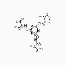 CN1CCC/C1=N/Oc1nc(O/N=C2\CCCN2C)nc(O/N=C2\CCCN2C)n1